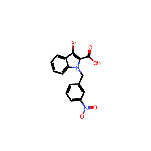 O=C(O)c1c(Br)c2ccccc2n1Cc1cccc([N+](=O)[O-])c1